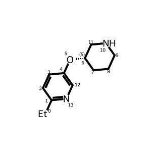 CCc1ccc(O[C@H]2CCCNC2)cn1